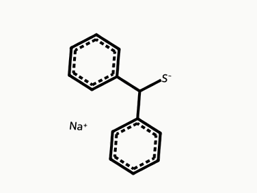 [Na+].[S-]C(c1ccccc1)c1ccccc1